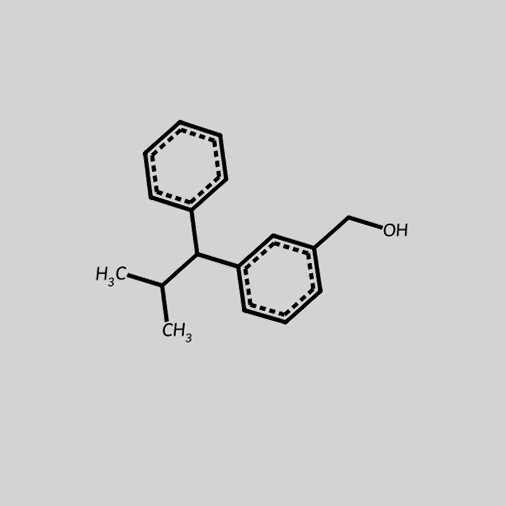 CC(C)C(c1ccccc1)c1cccc(CO)c1